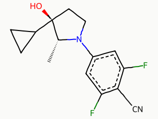 C[C@H]1N(c2cc(F)c(C#N)c(F)c2)CC[C@@]1(O)C1CC1